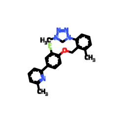 Cc1cccc(-c2ccc(OCc3c(C)cccc3N3CN(C)N=N3)c(F)c2)n1